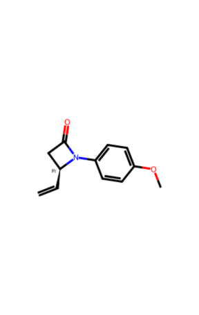 C=C[C@H]1CC(=O)N1c1ccc(OC)cc1